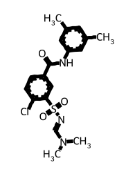 Cc1cc(C)cc(NC(=O)c2ccc(Cl)c(S(=O)(=O)N=CN(C)C)c2)c1